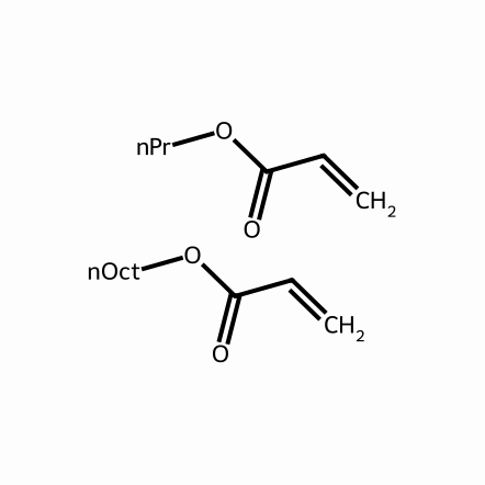 C=CC(=O)OCCC.C=CC(=O)OCCCCCCCC